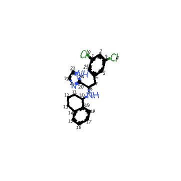 Clc1cc(Cl)cc(CC(NC2CCCc3ccccc32)c2ncc[nH]2)c1